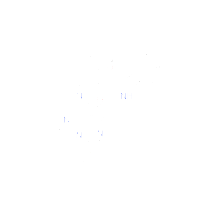 CNCC(Oc1cccc(N2CCN(C)c3nc(SC)ncc3C2=O)c1)c1ccccc1